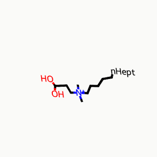 CCCCCCCCCCCC[N+](C)(C)CCC(O)O